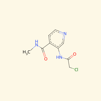 CNC(=O)c1ccncc1NC(=O)CCl